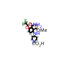 COC(=O)c1c(NC2CCN(C(=O)O)CC2)ccc(OCC(F)F)c1C(N)=O